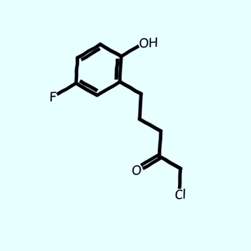 O=C(CCl)CCCc1cc(F)ccc1O